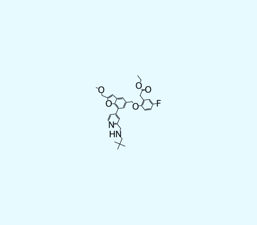 CCOC(=O)Cc1cc(F)ccc1OCc1cc(-c2ccnc(CNCC(C)(C)C)c2)c2oc(COC)cc2c1